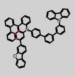 c1cc(-c2ccc(N(c3cccc(-c4ccc5c(c4)oc4ccccc45)c3)c3ccccc3-c3cc4ccccc4c4ccccc34)cc2)cc(-c2cccc(-n3c4ccccc4c4ccccc43)c2)c1